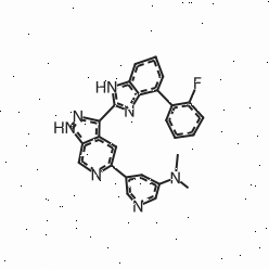 CN(C)c1cncc(-c2cc3c(-c4nc5c(-c6ccccc6F)cccc5[nH]4)n[nH]c3cn2)c1